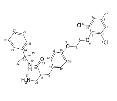 Cc1cc(Cl)c(OCCOc2ccc(CC(CN)C(=O)NC(C)(C)c3ccccc3)cc2)c(Cl)c1